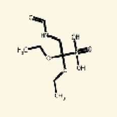 CCOC(CNC=O)(OCC)P(=O)(O)O